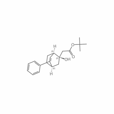 CC(C)(C)OC(=O)C[C@]1(O)C[C@H]2CC[C@@H]1C=C2c1ccccc1